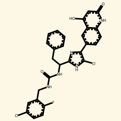 O=C(NCc1cc(Cl)ccc1F)NC(Cc1ccccc1)c1nc(-c2ccc3[nH]c(=O)cc(O)c3c2)c(Cl)[nH]1